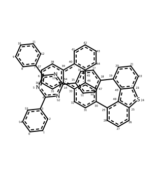 c1ccc(-c2nc(-c3ccccc3)nc(-c3ccc(-c4cccc5sc6cccc(-c7ccc8c9ccccc9c9ccccc9c8c7)c6c45)cc3)n2)cc1